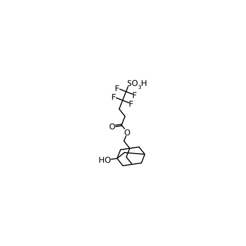 O=C(CCC(F)(F)C(F)(F)S(=O)(=O)O)OCC12CC3CC(CC(O)(C3)C1)C2